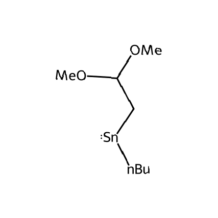 CCC[CH2][Sn][CH2]C(OC)OC